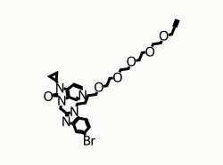 C#CCOCCOCCOCCOCCOCCCCn1c(Cn2c(=O)n(C3CC3)c3ccncc32)nc2cc(Br)ccc21